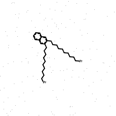 CC(C)CCCCCCCCCCc1[c]c2ccccc2cc1CCCCCCCCCCC(C)C